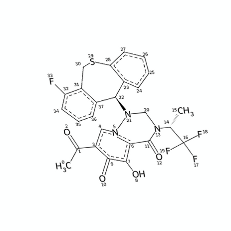 CC(=O)c1cn2c(c(O)c1=O)C(=O)N([C@H](C)C(F)(F)F)CN2[C@@H]1c2ccccc2SCc2c(F)cccc21